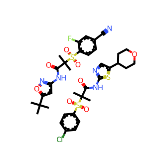 CC(C)(C(=O)Nc1ncc(C2CCOCC2)s1)S(=O)(=O)c1ccc(Cl)cc1.CC(C)(C)c1cc(NC(=O)C(C)(C)S(=O)(=O)c2ccc(C#N)cc2F)no1